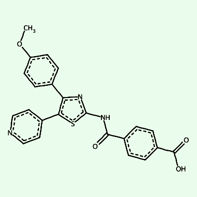 COc1ccc(-c2nc(NC(=O)c3ccc(C(=O)O)cc3)sc2-c2ccncc2)cc1